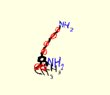 COC(=O)c1ccc(COCCOCCOCCOCCN)cc1C(C)N